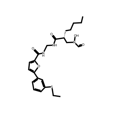 CCCCC[C@H](CN(O)C=O)C(=O)NCNC(=O)c1ccc(-c2cccc(SCC)c2)o1